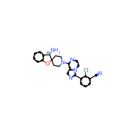 N#Cc1cccc(-c2ncc3c(N4CCC5(CC4)Oc4ccccc4[C@H]5N)nccn23)c1Cl